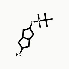 CC(C)(C)[Si](C)(C)OC1CC2CC(O)CC2C1